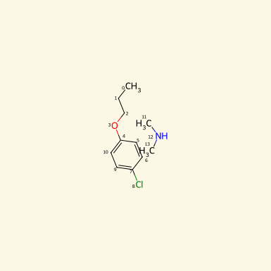 CCCOc1ccc(Cl)cc1.CNC